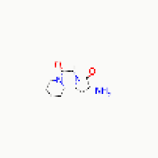 C[C@@H](C(=O)N1CCCCC1)N1CC[C@@H](N)C1=O